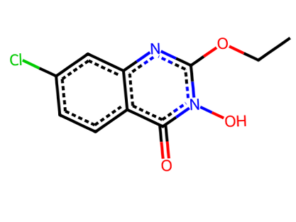 CCOc1nc2cc(Cl)ccc2c(=O)n1O